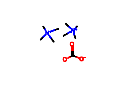 C[N+](C)(C)C.C[N+](C)(C)C.O=C([O-])[O-]